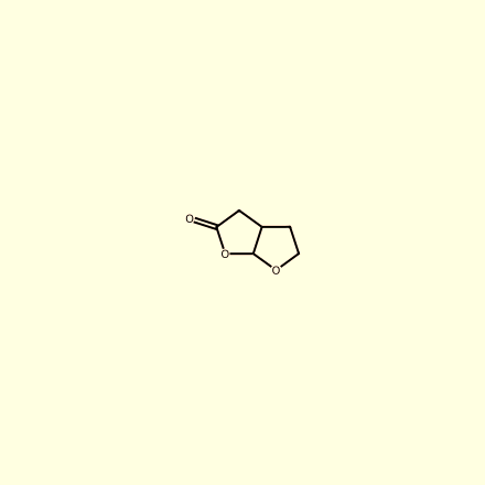 O=C1CC2CCOC2O1